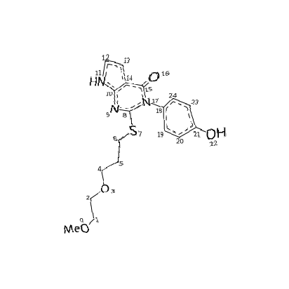 COCCOCCCSc1nc2[nH]ccc2c(=O)n1-c1ccc(O)cc1